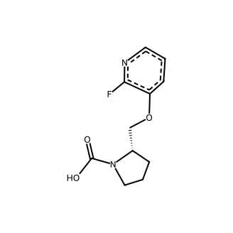 O=C(O)N1CCC[C@H]1COc1cccnc1F